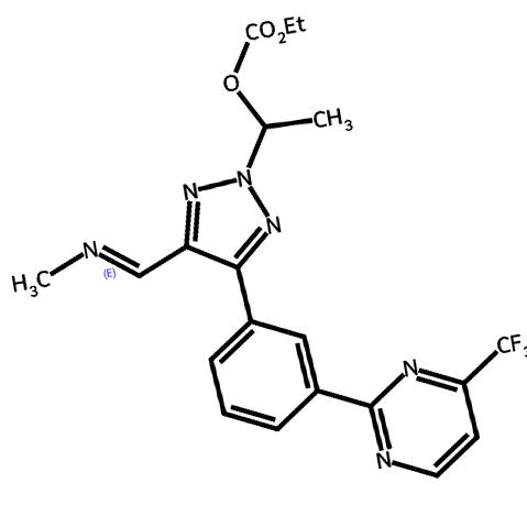 CCOC(=O)OC(C)n1nc(/C=N/C)c(-c2cccc(-c3nccc(C(F)(F)F)n3)c2)n1